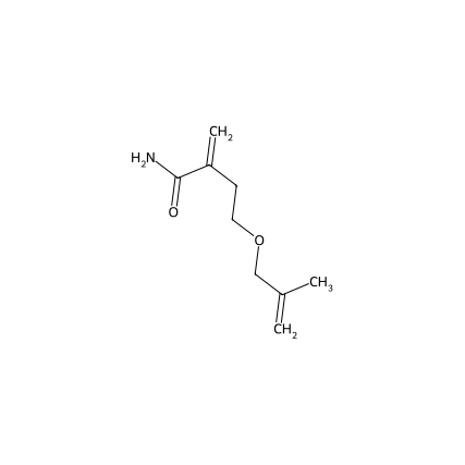 C=C(C)COCCC(=C)C(N)=O